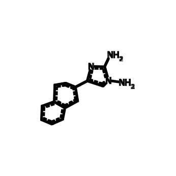 Nc1nc(-c2ccc3ccccc3c2)cn1N